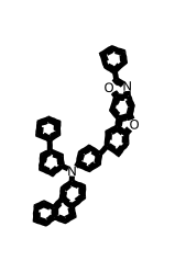 c1ccc(-c2cccc(N(c3ccc(-c4ccc5oc6cc7nc(-c8ccccc8)oc7cc6c5c4)cc3)c3ccc4ccc5ccccc5c4c3)c2)cc1